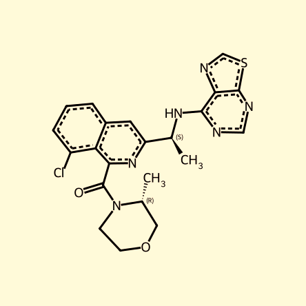 C[C@H](Nc1ncnc2scnc12)c1cc2cccc(Cl)c2c(C(=O)N2CCOC[C@H]2C)n1